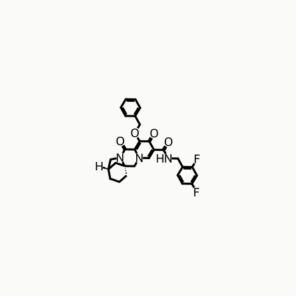 O=C(NCc1ccc(F)cc1F)c1cn2c(c(OCc3ccccc3)c1=O)C(=O)N1C[C@H]3CCC[C@@]1(C3)C2